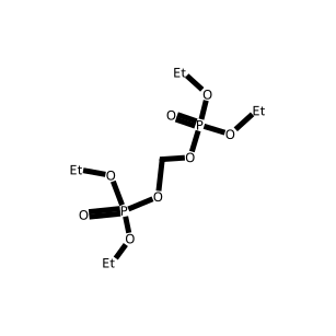 CCOP(=O)(OCC)OCOP(=O)(OCC)OCC